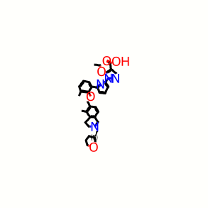 CCOc1c(C(=O)O)cnn1-c1cccc(-c2cccc(C)c2OCc2ccc3c(c2C)CCN(C[C@@H]2CCCOC2)C3)n1